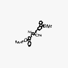 COn1c2ccccc2c2cc(/C=C/c3cc(C#N)c(/C=C/c4ccc5c(c4)c4ccccc4n5OC)cc3C#N)ccc21